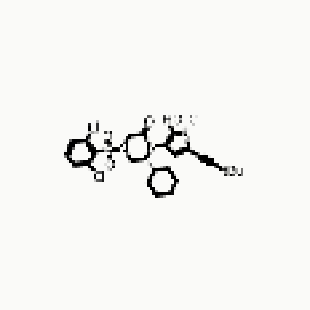 CC(C)(C)C#Cc1cc(N2C(=O)CN(S(=O)(=O)c3c(Cl)cccc3Cl)C[C@H]2C2CCCCC2)c(C(=O)O)s1